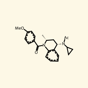 COc1ccc(C(=O)N2c3ccccc3[C@@H](N(C(C)=O)C3CC3)C[C@H]2C)cc1